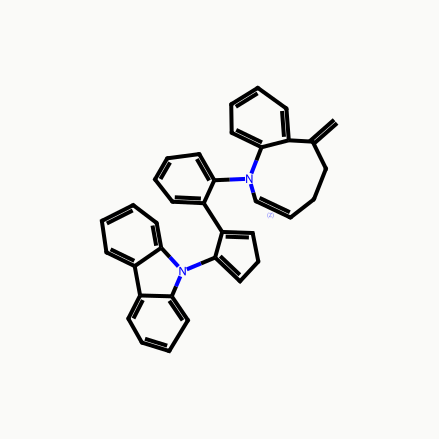 C=C1CC/C=C\N(c2ccccc2C2=CCC=C2n2c3ccccc3c3ccccc32)c2ccccc21